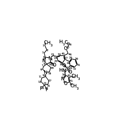 CCCCC1=NC2(CCN(C3CCC(F)(F)CC3)CC2)C(=O)N1Cc1ccc(-c2ccccc2S(=O)(=O)Nc2noc(C)c2C)c(COCC)c1